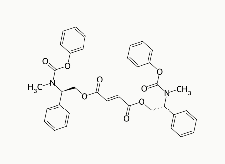 CN(C(=O)Oc1ccccc1)[C@@H](COC(=O)/C=C/C(=O)OC[C@@H](c1ccccc1)N(C)C(=O)Oc1ccccc1)c1ccccc1